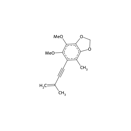 C=C(C)C#Cc1c(C)c2c(c(OC)c1OC)OCO2